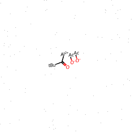 CC(=O)[O-].CC(=O)[O-].CC(C)(C)[C](=O)[Al+2]